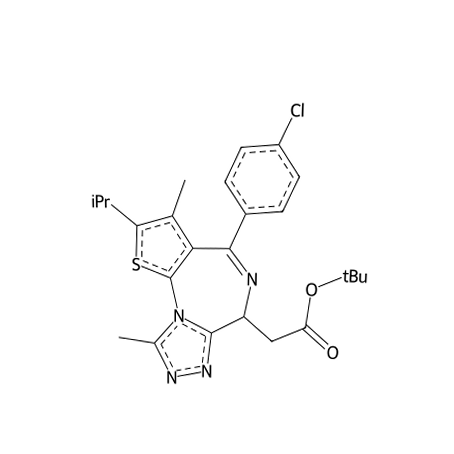 Cc1c(C(C)C)sc2c1C(c1ccc(Cl)cc1)=NC(CC(=O)OC(C)(C)C)c1nnc(C)n1-2